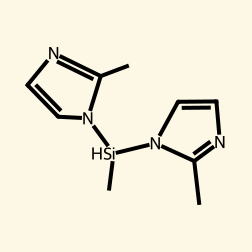 Cc1nccn1[SiH](C)n1ccnc1C